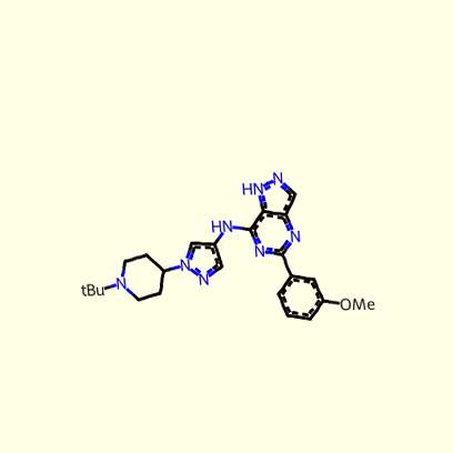 COc1cccc(-c2nc(Nc3cnn(C4CCN(C(C)(C)C)CC4)c3)c3[nH]ncc3n2)c1